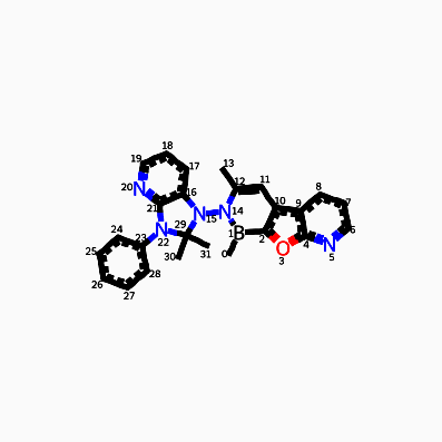 CB1c2oc3ncccc3c2C=C(C)N1N1c2cccnc2N(c2ccccc2)C1(C)C